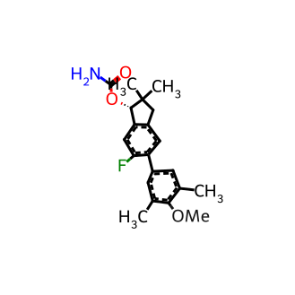 COc1c(C)cc(-c2cc3c(cc2F)[C@H](OC(N)=O)C(C)(C)C3)cc1C